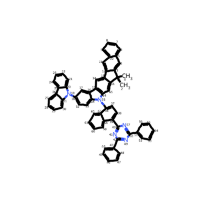 CC1(C)c2cc3ccccc3cc2-c2cc3c4cc(-n5c6ccccc6c6ccccc65)ccc4n(-c4ccc(-c5nc(-c6ccccc6)nc(-c6ccccc6)n5)c5ccccc45)c3cc21